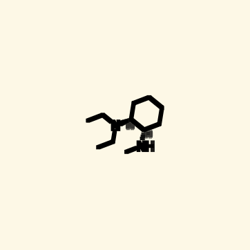 CCN(CC)[C@H]1CCCC[C@@H]1NC